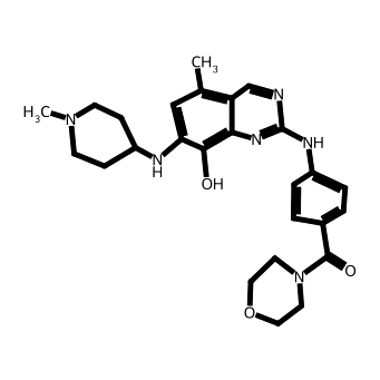 Cc1cc(NC2CCN(C)CC2)c(O)c2nc(Nc3ccc(C(=O)N4CCOCC4)cc3)ncc12